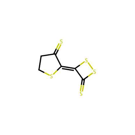 S=C1CCS/C1=C1/SSC1=S